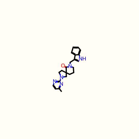 Cc1ccnc(N2CCC3(CCCN(Cc4c[nH]c5ccccc45)C3=O)C2)n1